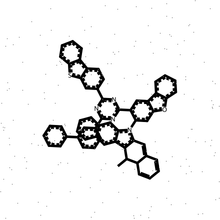 CC1c2c(n(-c3cc4oc5ccccc5c4cc3-c3nc(-c4cccc(-c5ccccc5)c4)nc(-c4ccc5c(c4)sc4ccccc45)n3)c3cc4ccccc4cc23)C=C2C=CC=CC21